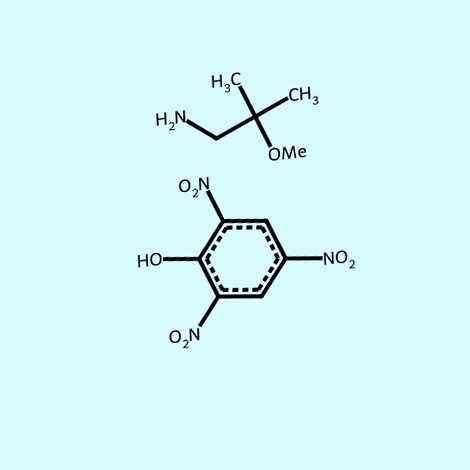 COC(C)(C)CN.O=[N+]([O-])c1cc([N+](=O)[O-])c(O)c([N+](=O)[O-])c1